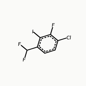 Fc1c(Cl)ccc(C(F)F)c1I